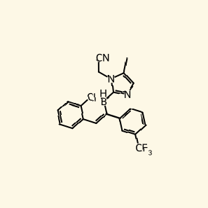 Cc1cnc(BC(=Cc2ccccc2Cl)c2cccc(C(F)(F)F)c2)n1CC#N